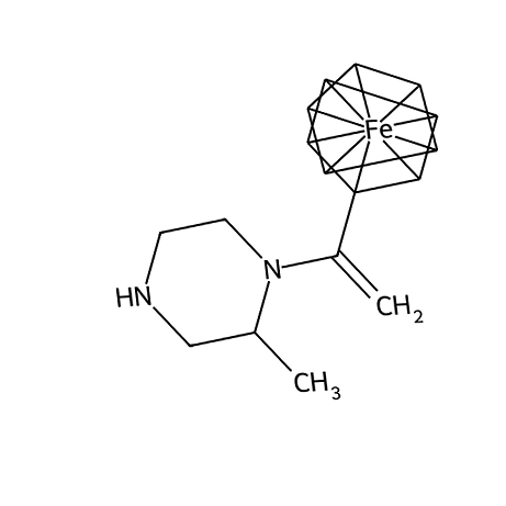 C=C(N1CCNCC1C)[C]12[CH]3[CH]4[CH]5[CH]1[Fe]45321678[CH]2[CH]1[CH]6[CH]7[CH]28